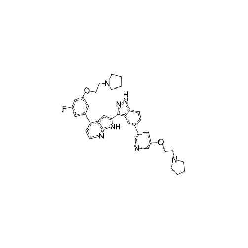 Fc1cc(OCCN2CCCC2)cc(-c2ccnc3[nH]c(-c4n[nH]c5ccc(-c6cncc(OCCN7CCCC7)c6)cc45)cc23)c1